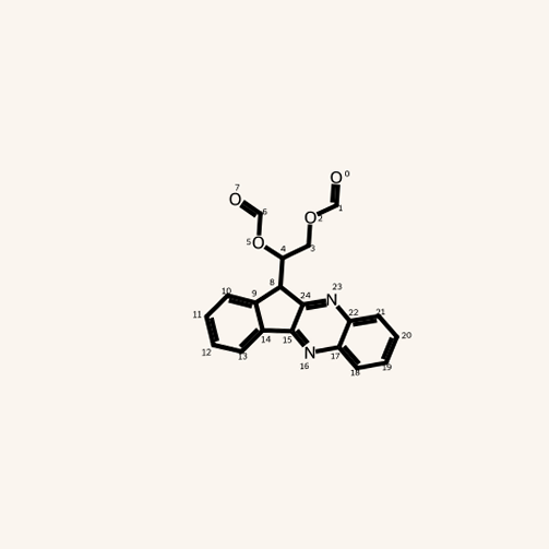 O=COCC(OC=O)C1c2ccccc2-c2nc3ccccc3nc21